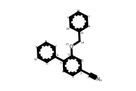 N#Cc1ccc(-c2ccccc2)c(OCc2ccccc2)c1